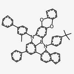 Cc1cc(-c2ccccc2)ccc1N1c2cc3c(cc2B2c4c(cc(-c5ccccc5)cc41)-c1ccc4ccccc4c1N2c1ccc(C(C)(C)C)cc1)Oc1ccccc1O3